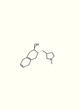 CN1CCC(C[C@@H]2CC3=C(CC=CC3)C[C@H]2O)C1